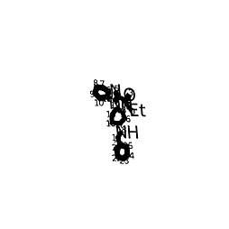 CCN(C(=O)c1nc2ccccc2[nH]1)C1CCC[C@@H](NCc2ccccc2)C1